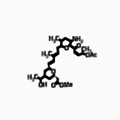 COC(=O)C[C@@H]1CC(C(C)O)C[C@@H](/C=C/C(C)=C/CC2OC(C(=O)/C=C\C(C)OC(C)=O)C(N)CC2C)O1